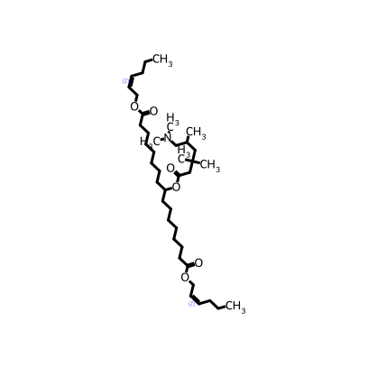 CCC/C=C\COC(=O)CCCCCCCC(CCCCCCCC(=O)OC/C=C\CCC)OC(=O)CC(C)(C)CC(C)CN(C)C